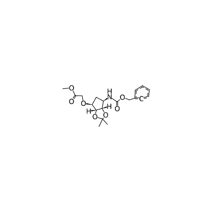 COC(=O)CO[C@H]1C[C@@H](NC(=O)OCc2ccccc2)[C@@H]2OC(C)(C)O[C@@H]21